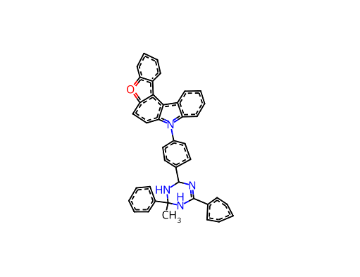 CC1(c2ccccc2)NC(c2ccccc2)=NC(c2ccc(-n3c4ccccc4c4c5c(ccc43)oc3ccccc35)cc2)N1